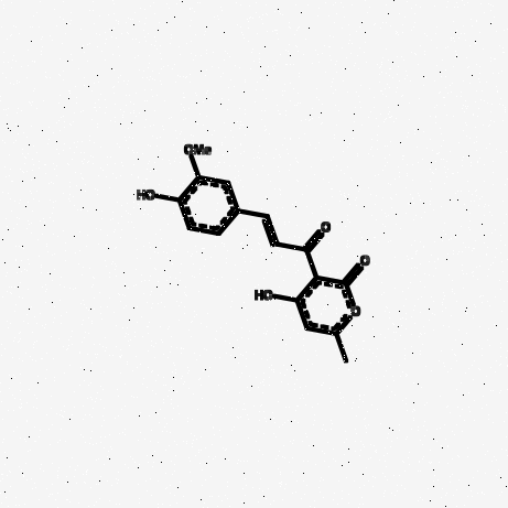 COc1cc(C=CC(=O)c2c(O)cc(C)oc2=O)ccc1O